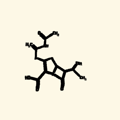 C=C(NC(C)=O)SC1=C(C(=O)O)N2C(=O)C(C(C)O)C2C1